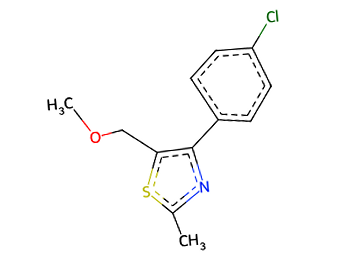 COCc1sc(C)nc1-c1ccc(Cl)cc1